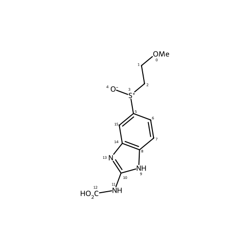 COCC[S+]([O-])c1ccc2[nH]c(NC(=O)O)nc2c1